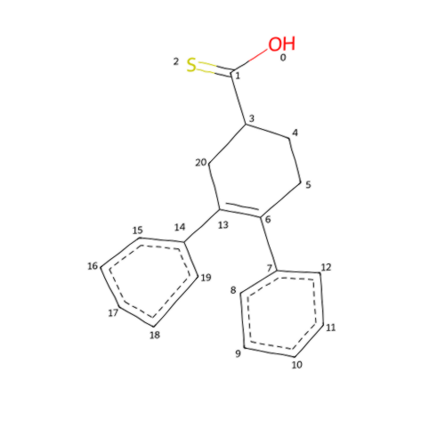 OC(=S)C1CCC(c2ccccc2)=C(c2ccccc2)C1